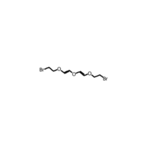 BrCCOC=COC=COCCBr